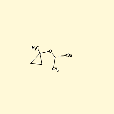 C[C@H](OC1(C)CC1)C(C)(C)C